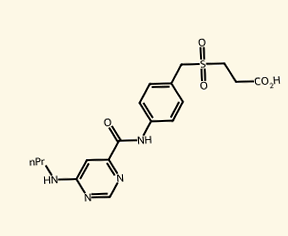 CCCNc1cc(C(=O)Nc2ccc(CS(=O)(=O)CCC(=O)O)cc2)ncn1